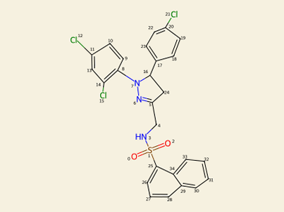 O=S(=O)(NCC1=NN(c2ccc(Cl)cc2Cl)C(c2ccc(Cl)cc2)C1)c1cccc2ccccc12